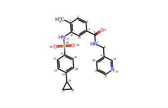 Cc1ccc(C(=O)NCc2cccnc2)cc1NS(=O)(=O)c1ccc(C2CC2)cc1